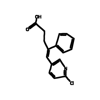 O=C(O)CCC(=Cc1ccc(Cl)nc1)c1ccccc1